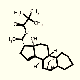 CC(OC(=O)C(C)(C)C)[C@H]1CC=C2[C@@H]3CCC4CCCC[C@]4(CO)[C@H]3CC[C@@]21C